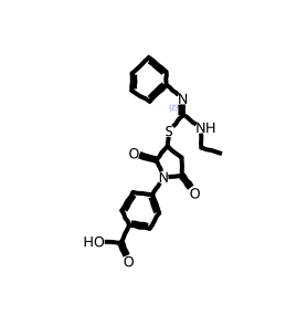 CCN/C(=N/c1ccccc1)SC1CC(=O)N(c2ccc(C(=O)O)cc2)C1=O